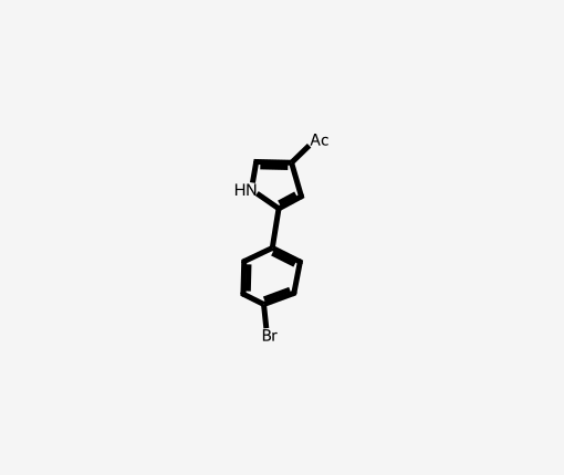 CC(=O)c1c[nH]c(-c2ccc(Br)cc2)c1